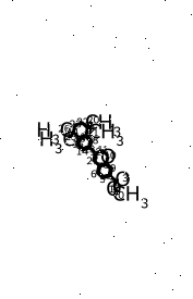 COC(=O)c1ccc2c(c1)OCC(c1ccc3c(c1)C(C)(C)CCC3(C)C)=C2